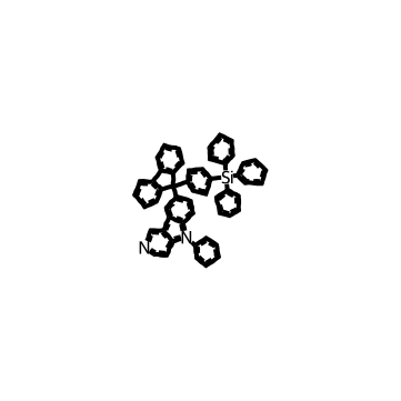 c1ccc(-n2c3ccncc3c3cc(C4(c5ccc([Si](c6ccccc6)(c6ccccc6)c6ccccc6)cc5)c5ccccc5-c5ccccc54)ccc32)cc1